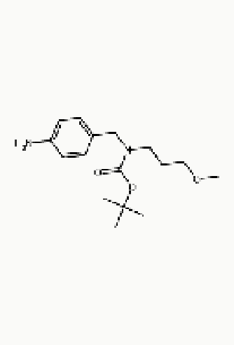 COCCCN(Cc1ccc(N)cc1)C(=O)OC(C)(C)C